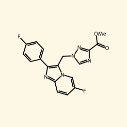 COC(=O)c1ncn(Cc2c(-c3ccc(F)cc3)nc3ccc(F)cn23)n1